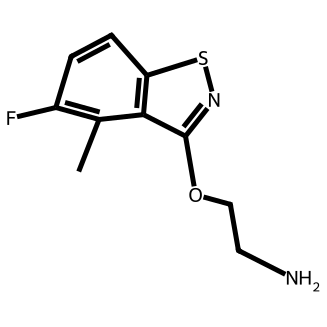 Cc1c(F)ccc2snc(OCCN)c12